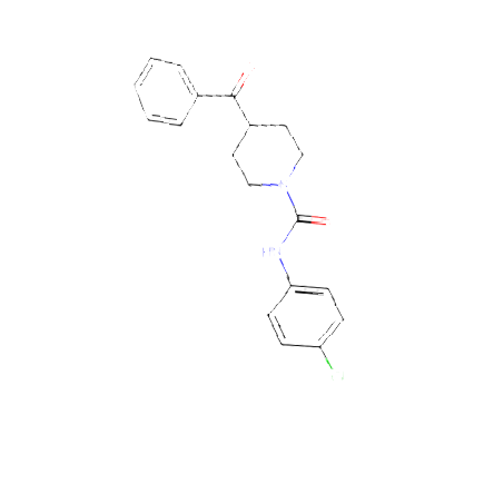 O=C(c1ccccc1)C1CCN(C(=O)Nc2ccc(Cl)cc2)CC1